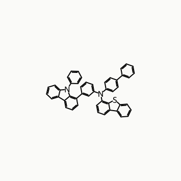 c1ccc(-c2ccc(N(c3cccc(-c4cccc5c6ccccc6n(-c6ccccc6)c45)c3)c3cccc4c3sc3ccccc34)cc2)cc1